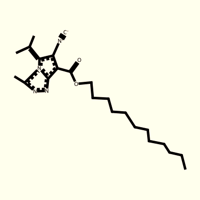 [C-]#[N+]c1c(C(=O)OCCCCCCCCCCCC)c2nnc(C)n2c1=C(C)C